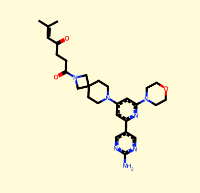 CC(C)=CC(=O)CCC(=O)N1CC2(CCN(c3cc(-c4cnc(N)nc4)nc(N4CCOCC4)c3)CC2)C1